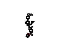 COC1CCC(c2ccc3cc(-c4oc5cc(C(=O)N6CC7CCC6[C@@H]7C)ccc5c4C)n(CC4CC4)c3c2)CC1